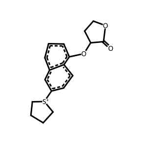 O=C1OCCC1Oc1cccc2cc([S+]3CCCC3)ccc12